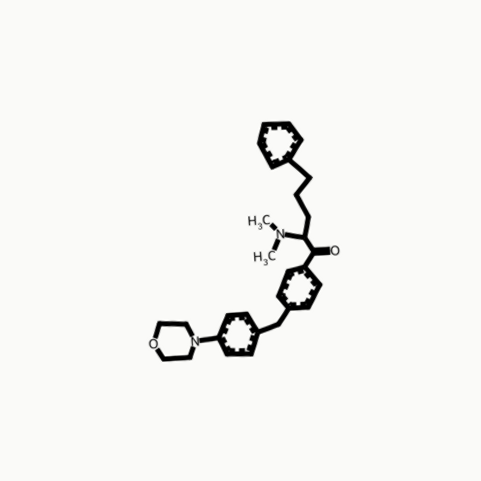 CN(C)C(CCCc1ccccc1)C(=O)c1ccc(Cc2ccc(N3CCOCC3)cc2)cc1